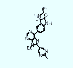 CCn1c(-c2cnc(C)nc2)nc2c(-c3ccc4c(c3)[C@](C)(NCC(C)C)C(=O)N4)ncnc21